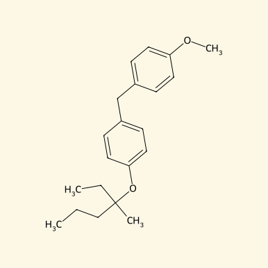 CCCC(C)(CC)Oc1ccc(Cc2ccc(OC)cc2)cc1